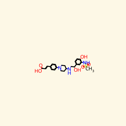 CS(=O)(=O)Nc1cc([C@H](O)CNC2CCN(c3ccc(/C=C/C(=O)O)cc3)CC2)ccc1O